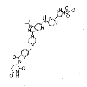 CC(C)n1nc(N2CCN(Cc3ccc4c(c3)CN(C3CCC(=O)NC3=O)C4=O)CC2)c2cnc(Nc3ccnc(-c4cnn(S(=O)(=O)C5CC5)c4)n3)cc21